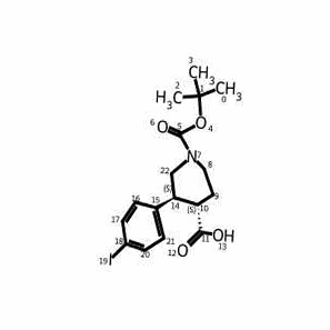 CC(C)(C)OC(=O)N1CC[C@H](C(=O)O)[C@@H](c2ccc(I)cc2)C1